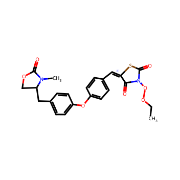 CCOON1C(=O)S/C(=C/c2ccc(Oc3ccc(CC4COC(=O)N4C)cc3)cc2)C1=O